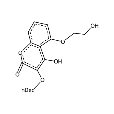 CCCCCCCCCCOc1c(O)c2c(OCCO)cccc2oc1=O